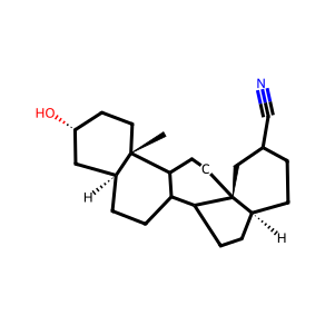 C[C@]12CC[C@@H](O)C[C@@H]1CCC1C3CC[C@@H]4CCC(C#N)C[C@]34CCC12